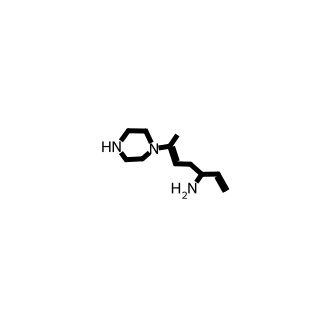 C=CC(N)C/C=C(\C)N1CCNCC1